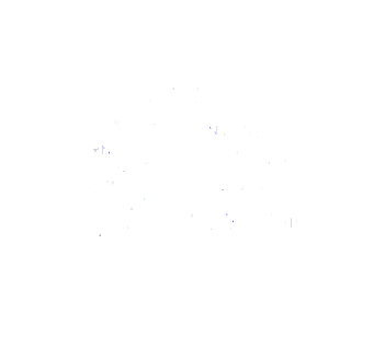 CC(C)(C)OC(=O)N1CCCC1c1oc(=O)oc1CN(C(=O)C(Cl)Cl)c1cccc(-c2cc(-c3c(Cl)cccc3Cl)no2)c1